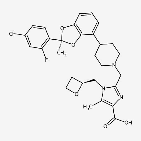 Cc1c(C(=O)O)nc(CN2CCC(c3cccc4c3O[C@@](C)(c3ccc(Cl)cc3F)O4)CC2)n1C[C@@H]1CCO1